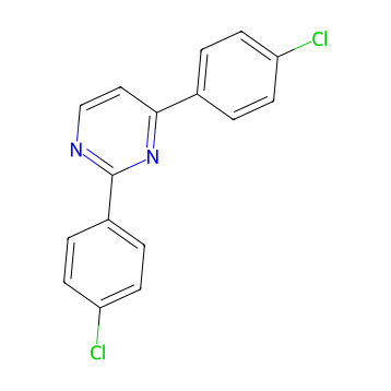 Clc1ccc(-c2ccnc(-c3ccc(Cl)cc3)n2)cc1